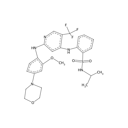 COc1cc(N2CCOCC2)ccc1Nc1cc(Nc2ccccc2S(=O)(=O)NC(C)C)c(C(F)(F)F)cn1